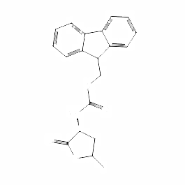 CC1C[C@H](NC(=O)OCC2c3ccccc3-c3ccccc32)C(=O)O1